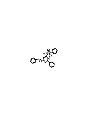 O=S(=O)(Nc1cc(OCc2ccccc2)nc(-c2ccccc2)n1)c1ccccc1